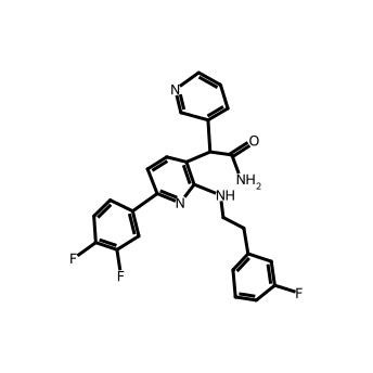 NC(=O)C(c1cccnc1)c1ccc(-c2ccc(F)c(F)c2)nc1NCCc1cccc(F)c1